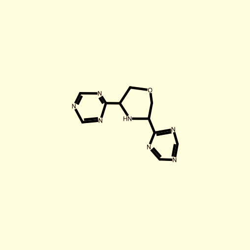 c1ncnc(C2COCC(c3ncncn3)N2)n1